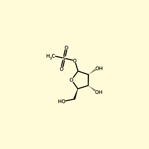 CS(=O)(=O)OC1O[C@H](CO)[C@@H](O)[C@H]1O